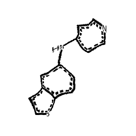 c1cc(Nc2ccc3sccc3c2)ccn1